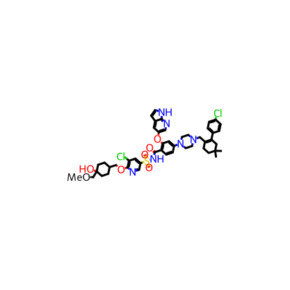 COCC1(O)CCC(COc2ncc(S(=O)(=O)NC(=O)c3ccc(N4CCN(CC5=C(c6ccc(Cl)cc6)CC(C)(C)CC5)CC4)cc3Oc3cnc4[nH]ccc4c3)cc2Cl)CC1